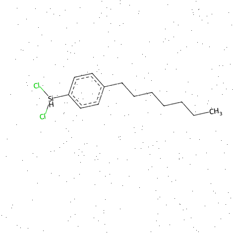 CCCCCCCc1ccc([SiH](Cl)Cl)cc1